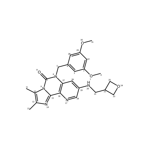 COc1cc(Cn2c(=O)n3c(C)c(C)nc3c3ncc(NCC4COC4)cc32)cc(OC)c1